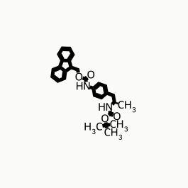 C[C@H](Cc1ccc(NC(=O)OCC2c3ccccc3-c3ccccc32)cc1)NC(=O)OC(C)(C)C